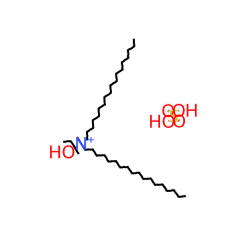 CCCCCCCCCCCCCCCCCC[N+](C)(CCCCCCCCCCCCCCCCCC)C(C)(O)CC.O=S(=O)(O)O